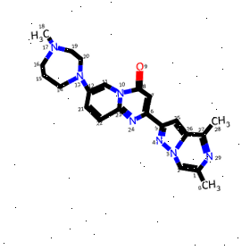 Cc1cn2nc(-c3cc(=O)n4cc(N5CCCN(C)CC5)ccc4n3)cc2c(C)n1